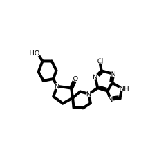 O=C1N(C2CCC(O)CC2)CCC12CCCN(c1nc(Cl)nc3[nH]cnc13)C2